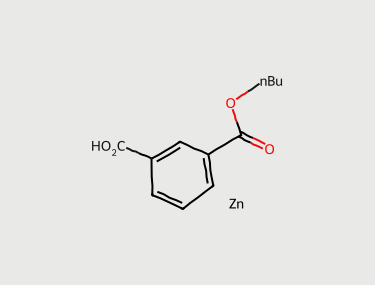 CCCCOC(=O)c1cccc(C(=O)O)c1.[Zn]